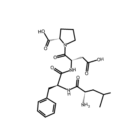 CC(C)C[C@H](N)C(=O)N[C@@H](Cc1ccccc1)C(=O)N[C@@H](CC(=O)O)C(=O)N1CCC[C@H]1C(=O)O